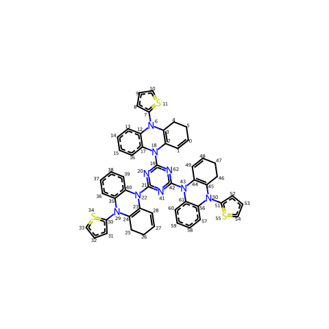 C1=CC2=C(CC1)N(c1cccs1)c1ccccc1N2c1nc(N2C3=C(CCC=C3)N(c3cccs3)c3ccccc32)nc(N2C3=C(CCC=C3)N(c3cccs3)c3ccccc32)n1